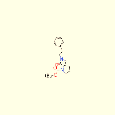 CC(C)(C)OC(=O)N1CCCC12CN(CCc1ccccc1)C2=O